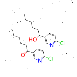 CCCCCC(=O)c1ccc(Cl)nc1.CCCCCC(O)c1ccc(Cl)nc1